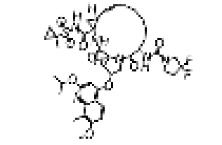 COc1ccc2c(O[C@@H]3C[C@H]4C(=O)N[C@]5(C(=O)NS(=O)(=O)C6(C)CC6)C[C@H]5C=CCCCCC[C@H](NC(=O)N5CCC(F)(F)C5)C(=O)N4C3)cc(OC(C)C)nc2c1C